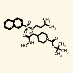 CC(C)CCN([C@@H](C(=O)NO)C1CCN(C(=O)OC(C)(C)C)CC1)S(=O)(=O)c1ccc2ccccc2c1